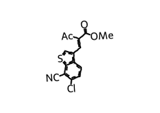 COC(=O)/C(=C/c1csc2c(C#N)c(Cl)ccc12)C(C)=O